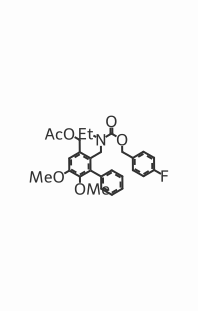 CCN(Cc1c(COC(C)=O)cc(OC)c(OC)c1-c1ccccc1)C(=O)OCc1ccc(F)cc1